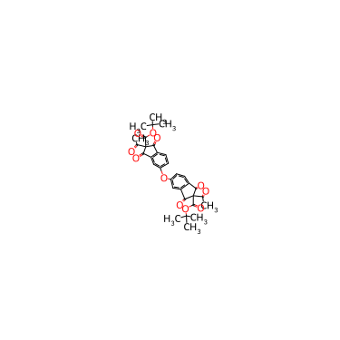 CC(=O)C1(C(=O)OC(C)(C)C)C(=O)c2ccc(Oc3ccc4c(c3)C(=O)C(C(C)=O)(C(=O)OC(C)(C)C)C4=O)cc2C1=O